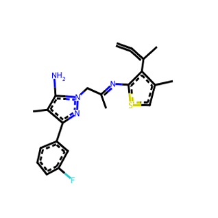 C=C=C(C)c1c(C)csc1/N=C(\C)Cn1nc(-c2cccc(F)c2)c(C)c1N